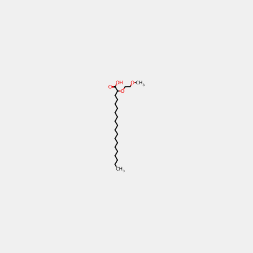 CCCCCCCCCCCCCCCCCCC(OCCOC)C(=O)O